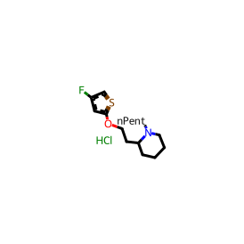 CCCCCN1CCCCC1CCOc1cc(F)cs1.Cl